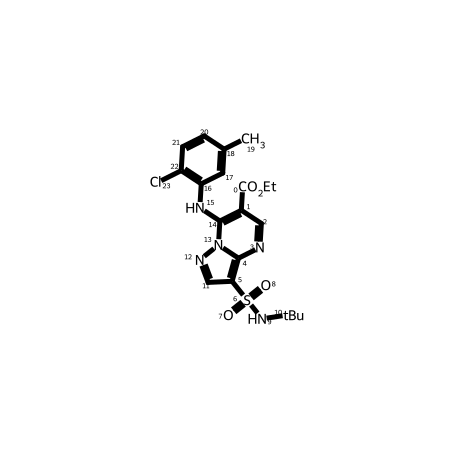 CCOC(=O)c1cnc2c(S(=O)(=O)NC(C)(C)C)cnn2c1Nc1cc(C)ccc1Cl